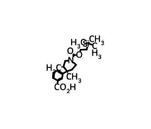 C[C@H]1CN(C(=O)OCC[Si](C)(C)C)CC[C@@]1(C)c1cccc(C(=O)O)c1